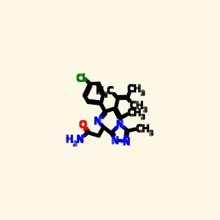 CC(C)=C(C)C1=C(C)n2c(C)nnc2C(CC(N)=O)N=C1c1ccc(Cl)cc1